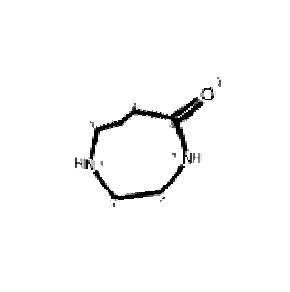 O=C1[CH]CNCCN1